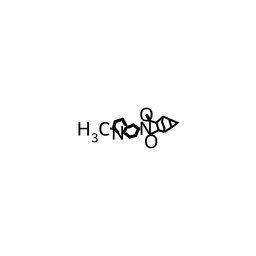 Cc1ccc2cc(N3C(=O)C4C5CCC(C6CC65)C4C3=O)ccc2n1